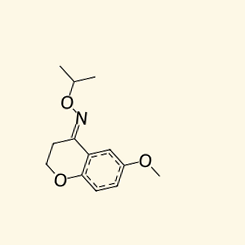 COc1ccc2c(c1)/C(=N/OC(C)C)CCO2